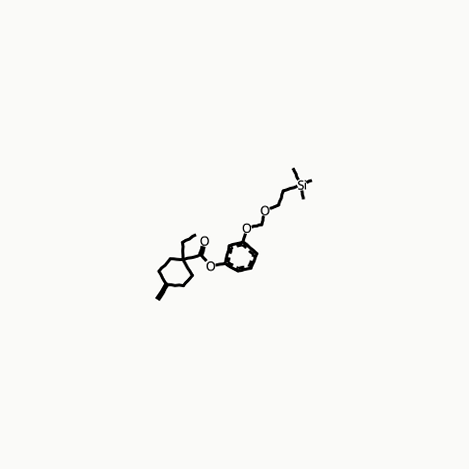 C=C1CCC(CC)(C(=O)Oc2cccc(OCOCC[Si](C)(C)C)c2)CC1